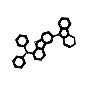 C1=Cc2c(c3ccccc3n2-c2ccc3oc4c(N(c5ccccc5)c5ccccc5)cncc4c3c2)CC1